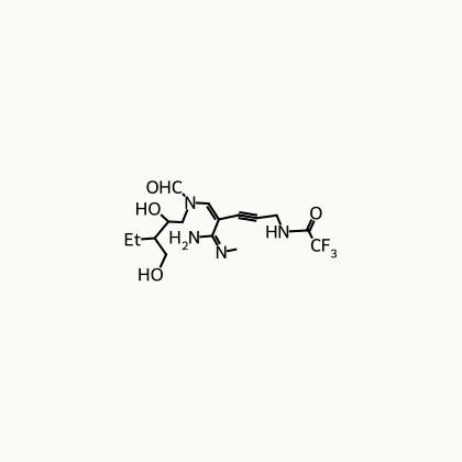 CCC(CO)C(O)CN(C=O)/C=C(C#CCNC(=O)C(F)(F)F)\C(N)=N/C